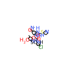 CN1CCc2nc(C(=O)N[C@H]3C[C@H](C(=O)N(C)C)CC[C@H]3NC(=O)C(=O)Nc3ccc(Cl)cn3)sc2C1.Cc1ccc(S(=O)(=O)O)cc1.O